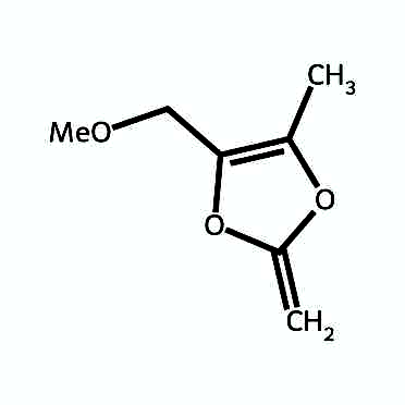 C=C1OC(C)=C(COC)O1